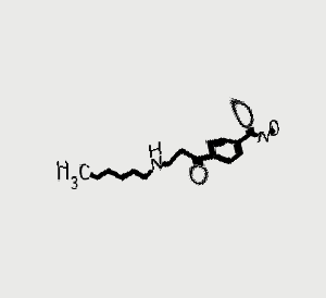 CCCCCCNCCC(=O)c1ccc(C(=O)N=O)cc1